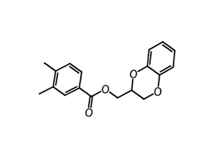 Cc1ccc(C(=O)OCC2COc3ccccc3O2)cc1C